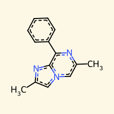 Cc1cn2cc(C)nc2c(-c2ccccc2)n1